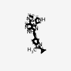 Cn1c(C2CC2)nc2cc(C#Cc3nn(C4CCNC4)c4c(-c5nccs5)cnc(N)c34)ccc21